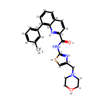 O=C(Nc1nc(CN2CCOCC2)cs1)c1ccc2cccc(-c3cccc(C(F)(F)F)c3)c2n1